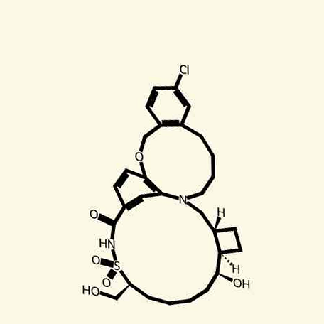 O=C1NS(=O)(=O)[C@H](CO)CCCC[C@H](O)[C@@H]2CC[C@H]2CN2CCCCc3cc(Cl)ccc3COc3ccc1cc32